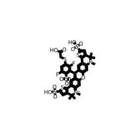 CN1c2cc3c(cc2-c2sc(S(=O)(=O)O)cc2C1(C)C)C(c1c(F)c(SCC(=O)O)cc(F)c1S(=O)(=O)O)=c1cc2c(cc1O3)=[N+](C)C(C)(C)c1cc(S(=O)(=O)O)sc1-2